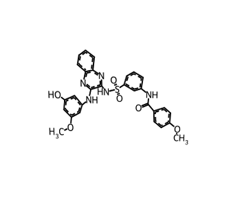 COc1ccc(C(=O)Nc2cccc(S(=O)(=O)Nc3nc4ccccc4nc3Nc3cc(O)cc(OC)c3)c2)cc1